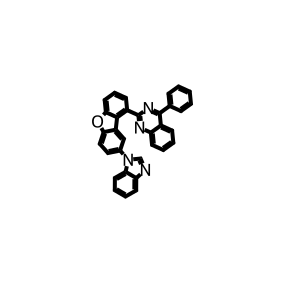 c1ccc(-c2nc(-c3cccc4oc5ccc(-n6cnc7ccccc76)cc5c34)nc3ccccc23)cc1